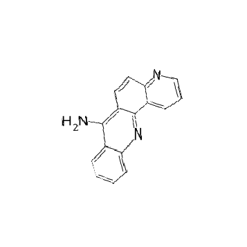 Nc1c2ccccc2nc2c1ccc1ncccc12